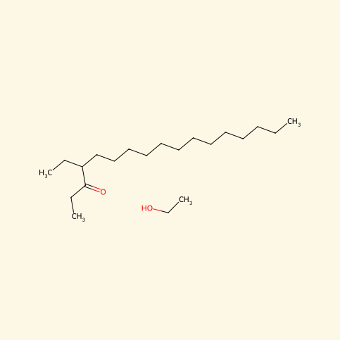 CCCCCCCCCCCCCC(CC)C(=O)CC.CCO